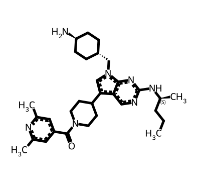 CCC[C@H](C)Nc1ncc2c(C3CCN(C(=O)c4cc(C)nc(C)c4)CC3)cn(C[C@H]3CC[C@H](N)CC3)c2n1